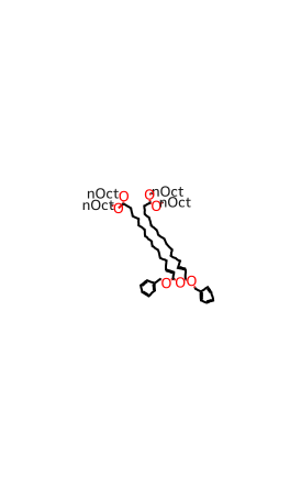 CCCCCCCCOC(CCCCCCCCCCCC=CC(OCc1ccccc1)OC(C=CCCCCCCCCCCCC(OCCCCCCCC)OCCCCCCCC)OCc1ccccc1)OCCCCCCCC